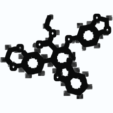 CCOC(=O)c1c(Oc2ccc3c(c2)OCO3)nc2c(oc3ccccc32)c1-c1ccc2c(c1)OCCO2